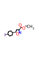 CCOC(=O)c1cc(-c2ccc(I)cc2)on1